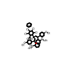 CCCNc1ccccc1C(=CC1(C=C(c2ccc(OCC)cc2)c2ccccc2NCCC)OC(=O)c2c(Cl)c(Cl)c(Cl)c(Cl)c21)c1ccc(OCC)cc1.c1cc2ccc1CCO2